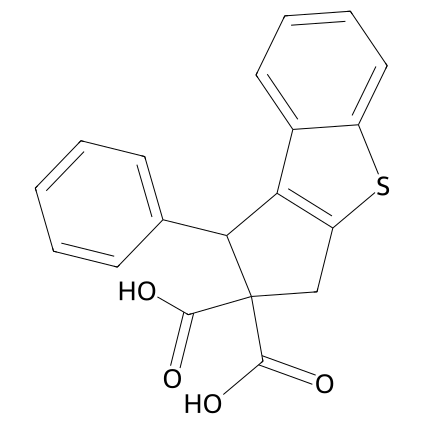 O=C(O)C1(C(=O)O)Cc2sc3ccccc3c2C1c1ccccc1